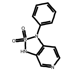 O=S1(=O)Nc2cnccc2N1c1ccccc1